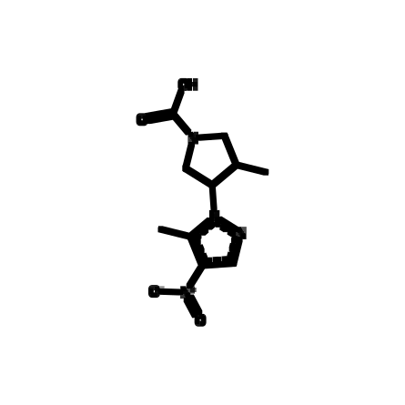 Cc1c([N+](=O)[O-])cnn1C1CN(C(=O)O)CC1C